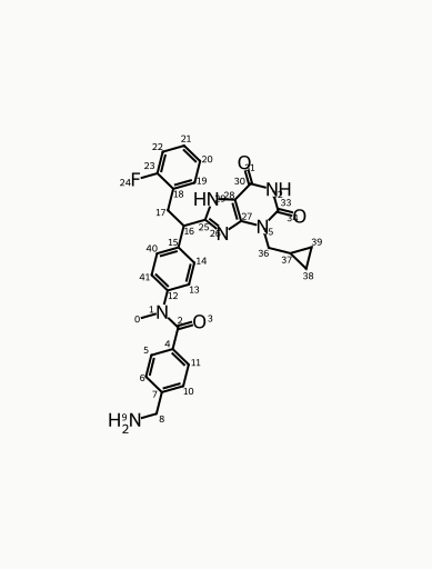 CN(C(=O)c1ccc(CN)cc1)c1ccc(C(Cc2ccccc2F)c2nc3c([nH]2)c(=O)[nH]c(=O)n3CC2CC2)cc1